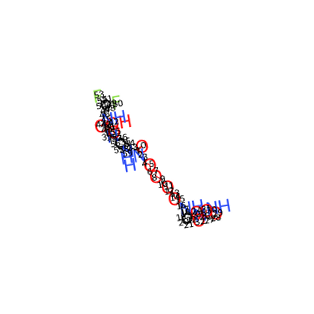 O=C(NCCOCCOCCOCCOCCNc1cccc2c1ON(C1CCONO1)O2)c1cc2cc(N3CC[C@@](O)(C(=O)NCc4cc(F)cc(F)c4)O3)ccc2[nH]1